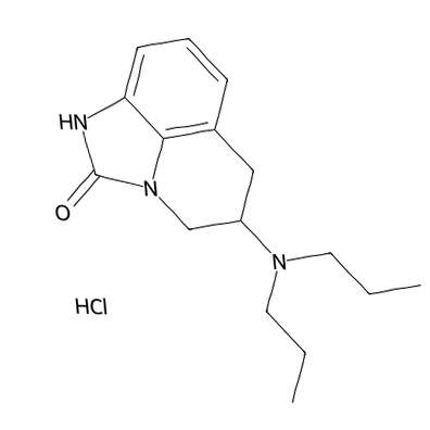 CCCN(CCC)C1Cc2cccc3[nH]c(=O)n(c23)C1.Cl